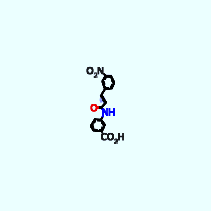 O=C(/C=C/c1cccc([N+](=O)[O-])c1)Nc1cccc(C(=O)O)c1